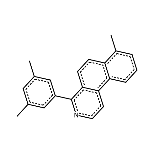 Cc1cc(C)cc(-c2nccc3c2ccc2c(C)cccc23)c1